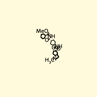 COC[C@@H](NC(=O)[C@H]1CC[C@H](NS(=O)(=O)c2ccc3c(ccn3C)c2)CC1)c1ccccc1